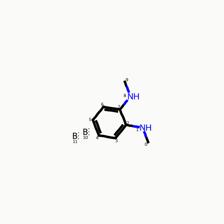 CNc1ccccc1NC.[B].[B]